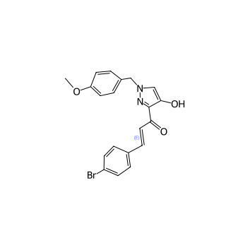 COc1ccc(Cn2cc(O)c(C(=O)/C=C/c3ccc(Br)cc3)n2)cc1